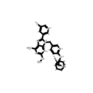 CCOc1nc(C)c2nc(-c3cncc(F)c3)n(Cc3ccc(O[C@@H]4CN5CCC4CC5)nc3)c2n1